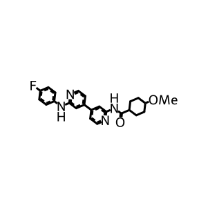 COC1CCC(C(=O)Nc2cc(-c3ccnc(Nc4ccc(F)cc4)c3)ccn2)CC1